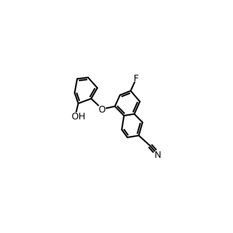 N#Cc1ccc2c(Oc3ccccc3O)cc(F)cc2c1